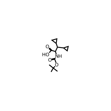 CC(C)(C)OC(=O)NC(C(=O)O)C(C1CC1)C1CC1